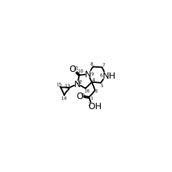 O=C(O)CC12CNCCN1C(=O)N(C1CC1)C2